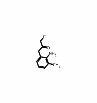 Cc1cccc(CC(=O)CCl)c1N